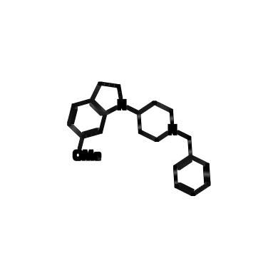 COc1ccc2c(c1)N(C1CCN(Cc3ccccc3)CC1)CC2